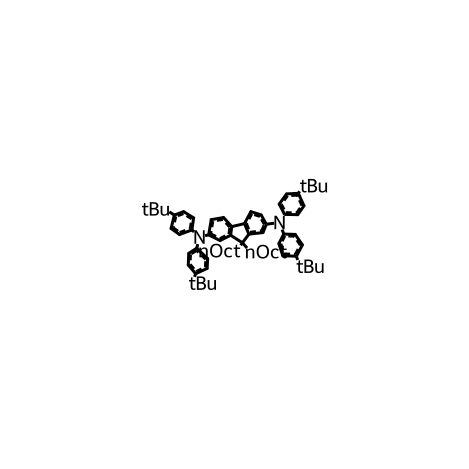 CCCCCCCCC1(CCCCCCCC)c2cc(N(c3ccc(C(C)(C)C)cc3)c3ccc(C(C)(C)C)cc3)ccc2-c2ccc(N(c3ccc(C(C)(C)C)cc3)c3ccc(C(C)(C)C)cc3)cc21